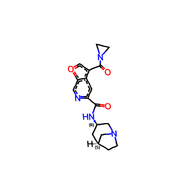 O=C(N[C@@H]1C[C@@H]2CCN(C2)C1)c1cc2c(C(=O)N3CC3)coc2cn1